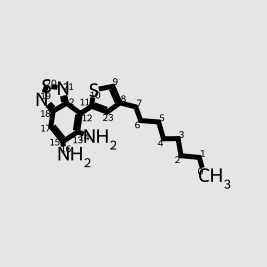 CCCCCCCCc1csc(-c2c(N)c(N)cc3nsnc23)c1